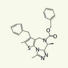 Cc1sc2c(c1Cc1ccccc1)CN(C(=O)OCc1ccccc1)[C@@H](C)c1nnc(C)n1-2